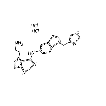 Cl.Cl.NCCn1ccc2ncnc(Nc3ccc4c(ccn4Cc4cscn4)c3)c21